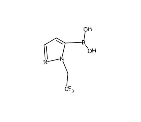 OB(O)c1ccnn1CC(F)(F)F